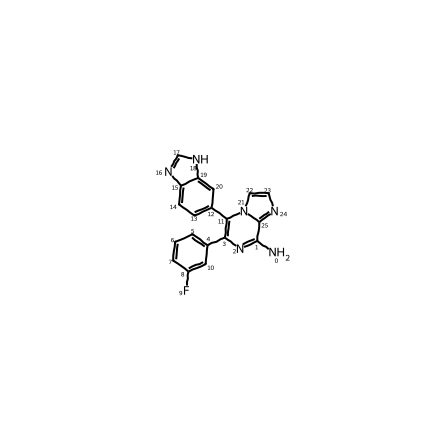 Nc1nc(-c2cccc(F)c2)c(-c2ccc3nc[nH]c3c2)n2ccnc12